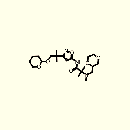 CN(CC1COCCO1)C(C)(C)C(=O)Nc1cc(C(C)(C)COC2CCCCO2)no1